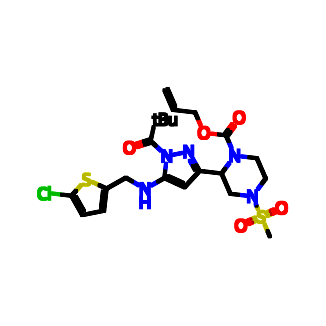 C=CCOC(=O)N1CCN(S(C)(=O)=O)CC1c1cc(NCc2ccc(Cl)s2)n(C(=O)C(C)(C)C)n1